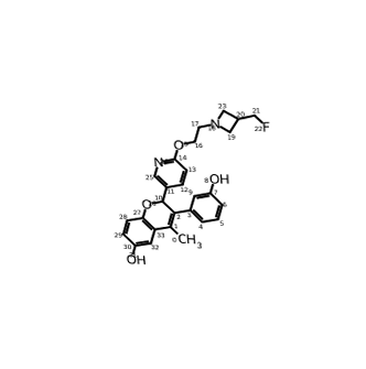 CC1=C(c2cccc(O)c2)C(c2ccc(OCCN3CC(CF)C3)nc2)Oc2ccc(O)cc21